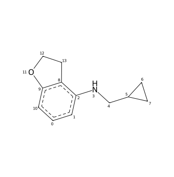 c1cc(NCC2CC2)c2c(c1)OCC2